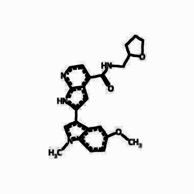 COc1ccc2c(c1)c(-c1cc3c(C(=O)NCC4CCCO4)ccnc3[nH]1)cn2C